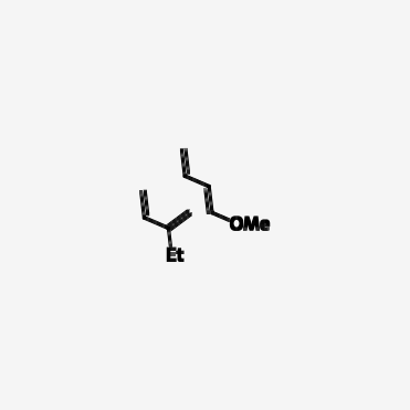 C=CC(=C)CC.C=CC=COC